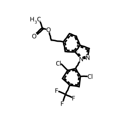 CC(=O)OCc1ccc2cnn(-c3c(Cl)cc(C(F)(F)F)cc3Cl)c2c1